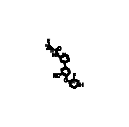 N#Cc1cc(-c2ccnc(NC(=O)[C@@H]3C[C@@H]3F)c2)ccc1O[C@H]1CCNC[C@H]1F